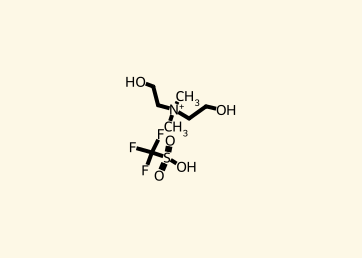 C[N+](C)(CCO)CCO.O=S(=O)(O)C(F)(F)F